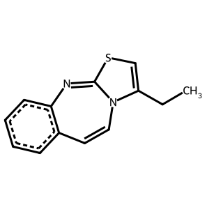 CCC1=CSC2=Nc3ccccc3C=CN12